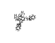 CC(C)(C)c1cc(CSc2nc3ccccc3s2)cc(CSc2nc3ccccc3s2)c1O